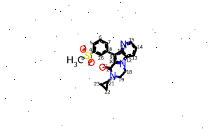 CS(=O)(=O)c1cccc(-c2c3n(c4cccnc24)CCN(C2CC2)C3=O)c1